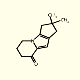 CC1(C)Cc2cc3n(c2C1)CCCC3=O